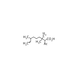 C=CC(C)CCCC(C)(C)C(C(C)=O)C(=O)O